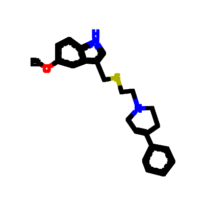 CCOc1ccc2[nH]cc(CSCCN3CC=C(c4ccccc4)CC3)c2c1